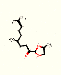 CC(C)=CCCC(C)CCC(=O)C1OCC(C)O1